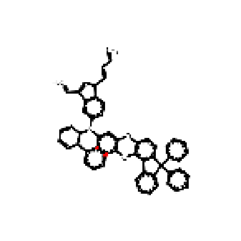 C=C/C=C/C1C=C(C=C)c2cc(N(c3ccc4c(c3)Oc3ccc5c(c3O4)-c3ccccc3C5(c3ccccc3)c3ccccc3)C3C=CC=CC3c3ccccc3)ccc21